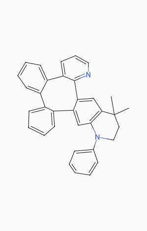 CC1(C)CCN(c2ccccc2)c2cc3c(cc21)-c1ncccc1-c1ccccc1-c1ccccc1-3